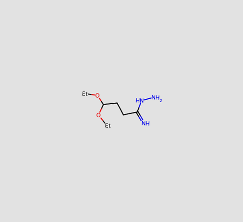 CCOC(CCC(=N)NN)OCC